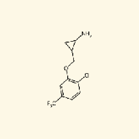 NC1CC1COc1cc(C(F)(F)F)ccc1Cl